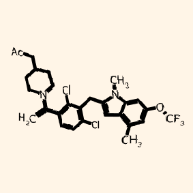 C=C(c1ccc(Cl)c(Cc2cc3c(C)cc(OC(F)(F)F)cc3n2C)c1Cl)N1CCC(CC(C)=O)CC1